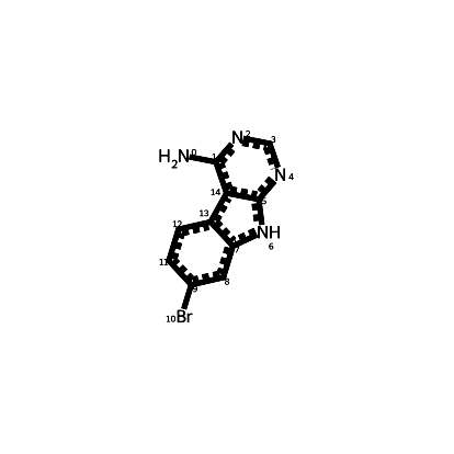 Nc1ncnc2[nH]c3cc(Br)ccc3c12